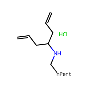 C=CCC(CC=C)NCCCCCC.Cl